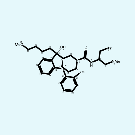 CNCC(CC(C)C)NC(=O)N1CCC[C@@H]([C@](O)(CCCCOC)c2ccccc2Oc2ccccc2F)C1